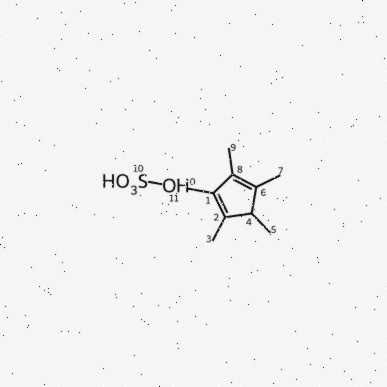 CC1=C(C)C(C)C(C)=C1C.O=S(=O)(O)O